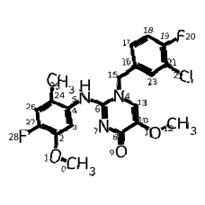 COc1cc(Nc2nc(=O)c(OC)cn2Cc2ccc(F)c(Cl)c2)c(C)cc1F